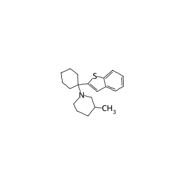 CC1CCCN(C2(c3cc4ccccc4s3)CCCCC2)C1